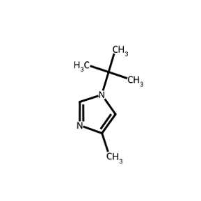 Cc1cn(C(C)(C)C)cn1